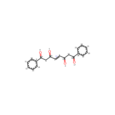 O=C(/C=C/C(=O)CC(=O)c1ccccc1)CC(=O)c1ccccc1